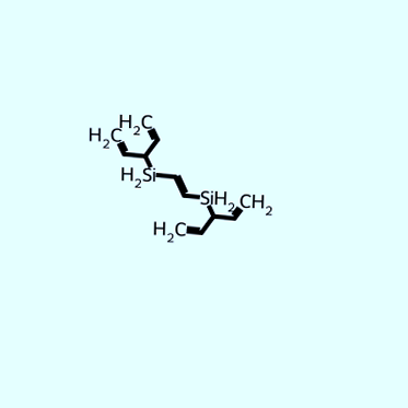 C=CC(C=C)[SiH2]C=C[SiH2]C(C=C)C=C